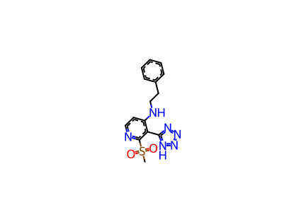 CS(=O)(=O)c1nccc(NCCc2ccccc2)c1-c1nnn[nH]1